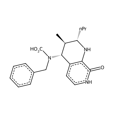 CCC[C@@H]1Nc2c(cc[nH]c2=O)[C@H](N(Cc2ccccc2)C(=O)O)[C@H]1C